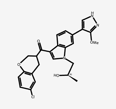 COc1n[nH]cc1-c1ccc2c(C(=O)C3COc4ccc(Cl)cc4C3)cn(C[C@@H](C)O)c2c1